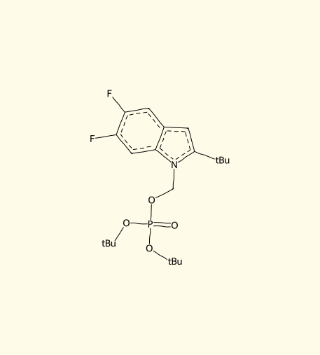 CC(C)(C)OP(=O)(OCn1c(C(C)(C)C)cc2cc(F)c(F)cc21)OC(C)(C)C